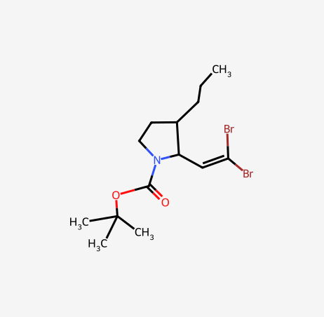 CCCC1CCN(C(=O)OC(C)(C)C)C1C=C(Br)Br